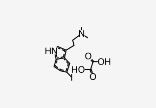 CN(C)CCc1c[nH]c2ccc(I)cc12.O=C(O)C(=O)O